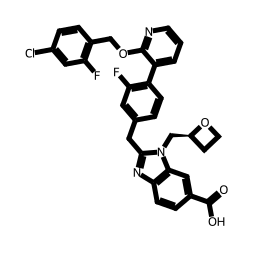 O=C(O)c1ccc2nc(Cc3ccc(-c4cccnc4OCc4ccc(Cl)cc4F)c(F)c3)n(C[C@@H]3CCO3)c2c1